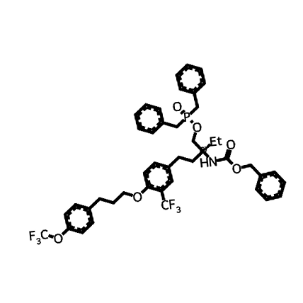 CC[C@@](CCc1ccc(OCCCc2ccc(OC(F)(F)F)cc2)c(C(F)(F)F)c1)(COP(=O)(Cc1ccccc1)Cc1ccccc1)NC(=O)OCc1ccccc1